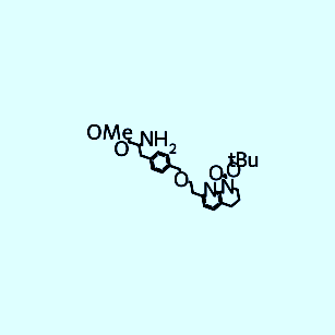 COC(=O)[C@@H](N)Cc1ccc(COCCc2ccc3c(n2)N(C(=O)OC(C)(C)C)CCC3)cc1